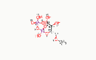 COC[C@H](OP(=O)(O)OP(=O)(O)O)[C@H](O)CO